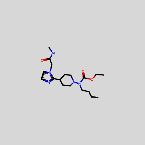 CCCCN(C(=O)OCC)N1CCC(c2nccn2CC(=O)NC)CC1